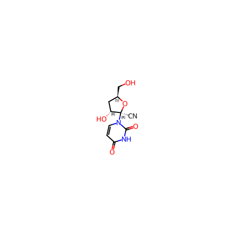 N#C[C@@]1(n2ccc(=O)[nH]c2=O)O[C@H](CO)C[C@H]1O